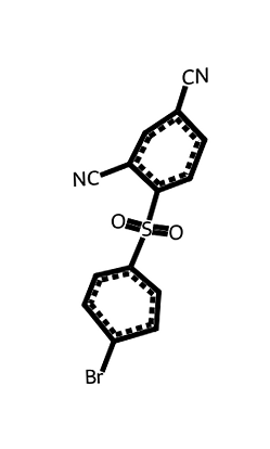 N#Cc1ccc(S(=O)(=O)c2ccc(Br)cc2)c(C#N)c1